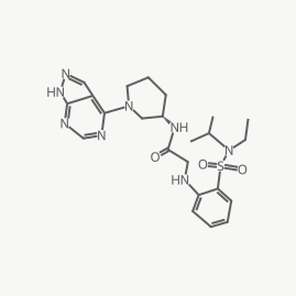 CCN(C(C)C)S(=O)(=O)c1ccccc1NCC(=O)N[C@@H]1CCCN(c2ncnc3[nH]ncc23)C1